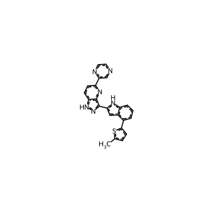 Cc1ccc(-c2cccc3[nH]c(-c4n[nH]c5ccc(-c6cnccn6)nc45)cc23)s1